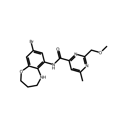 COCc1nc(C)cc(C(=O)Nc2cc(Br)cc3c2NCCCO3)n1